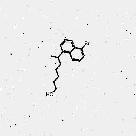 CC(CCCCCO)c1cccc2c(Br)cccc12